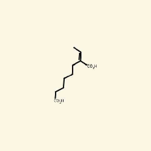 C/C=C(\CCCCCC(=O)O)C(=O)O